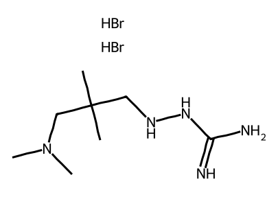 Br.Br.CN(C)CC(C)(C)CNNC(=N)N